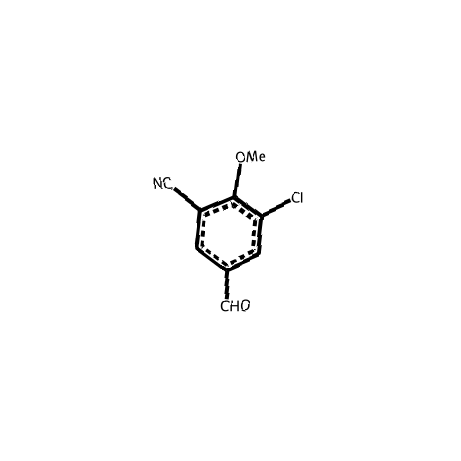 COc1c(Cl)cc(C=O)cc1C#N